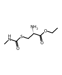 CCOC(=O)[C@@H](N)CSC(=O)NC